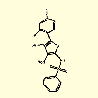 CC(=O)Oc1c(NS(=O)(=O)c2ccccc2)oc(-c2ccc(Cl)cc2Cl)c1O